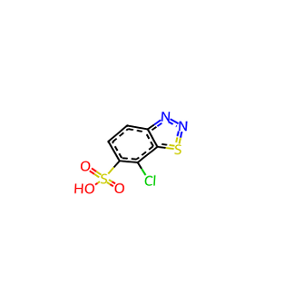 O=S(=O)(O)c1ccc2nnsc2c1Cl